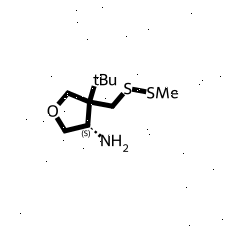 CSSCC1(C(C)(C)C)COC[C@H]1N